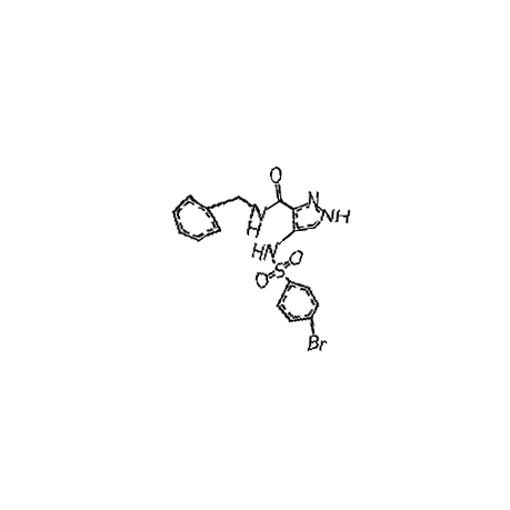 O=C(NCc1ccccc1)c1n[nH]cc1NS(=O)(=O)c1ccc(Br)cc1